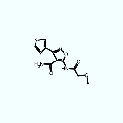 COCC(=O)Nc1onc(-c2ccsc2)c1C(N)=O